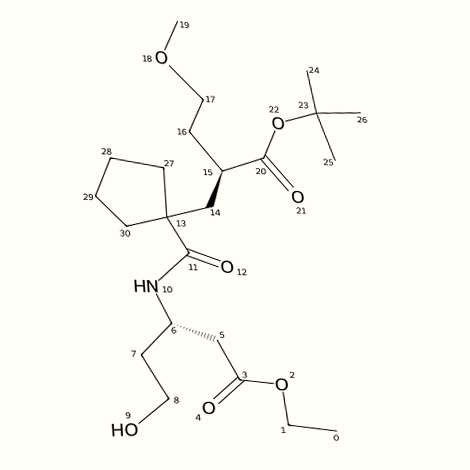 CCOC(=O)C[C@H](CCO)NC(=O)C1(C[C@@H](CCOC)C(=O)OC(C)(C)C)CCCC1